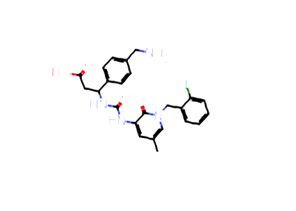 Cc1cc(NC(=O)NC(CC(=O)O)c2ccc(CN)cc2)c(=O)n(Cc2ccccc2Cl)c1